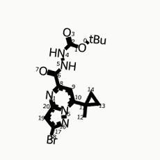 CC(C)(C)OC(=O)NNC(=O)c1cc(C2(C)CC2)n2nc(Br)cc2n1